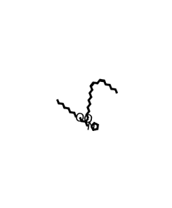 CCCCC/C=C\C/C=C\CCCCCCCCOC(COCCCCCCCC)CN1CCCC1